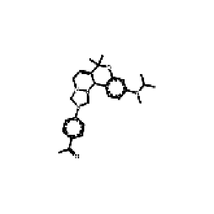 CC(=O)c1ccc(N2CN3CC=C4C(c5ccc(N(C)C(C)C)cc5OC4(C)C)N3C2)cc1